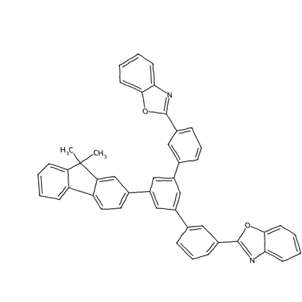 CC1(C)c2ccccc2-c2ccc(-c3cc(-c4cccc(-c5nc6ccccc6o5)c4)cc(-c4cccc(-c5nc6ccccc6o5)c4)c3)cc21